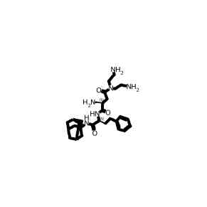 NCCN(CCN)C(=O)C[C@H](N)C(=O)N[C@@H](CCc1ccccc1)C(=O)NC12CC3CC(CC(C3)C1)C2